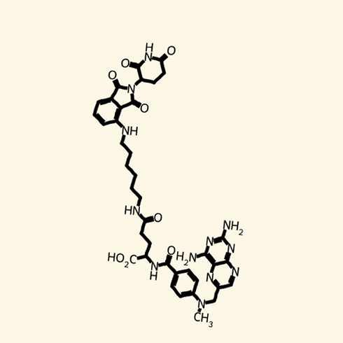 CN(Cc1cnc2nc(N)nc(N)c2n1)c1ccc(C(=O)NC(CCC(=O)NCCCCCCNc2cccc3c2C(=O)N(C2CCC(=O)NC2=O)C3=O)C(=O)O)cc1